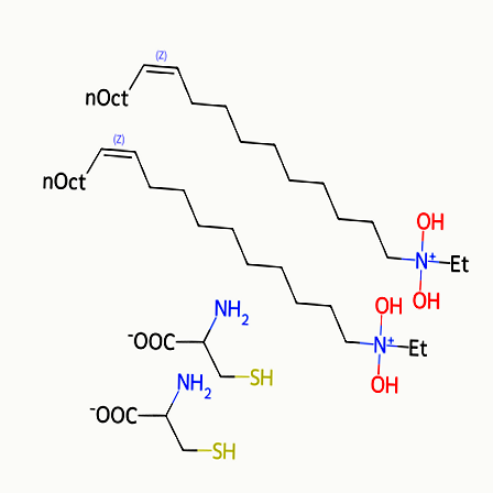 CCCCCCCC/C=C\CCCCCCCCC[N+](O)(O)CC.CCCCCCCC/C=C\CCCCCCCCC[N+](O)(O)CC.NC(CS)C(=O)[O-].NC(CS)C(=O)[O-]